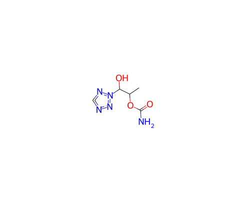 CC(OC(N)=O)C(O)n1ncnn1